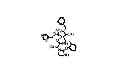 CC(C)(C)C(C(=O)N[C@@H](Cc1ccccc1)C[C@H](O)[C@H](Cc1ccccc1)NC(=O)OCc1cncs1)N1CCNC1=O